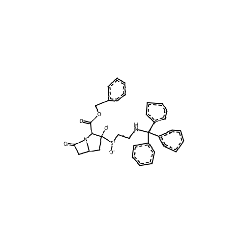 O=C(OCc1ccccc1)C1N2C(=O)CC2CC1(Cl)[S+]([O-])CCNC(c1ccccc1)(c1ccccc1)c1ccccc1